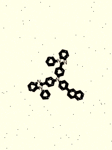 c1ccc(-n2c(-c3ccc(N(c4ccc(-c5ccc6ccccc6c5)cc4)c4ccc(-c5nc6ccccc6n5-c5ccccc5)cc4)cc3)nc3ccccc32)cc1